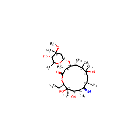 CC[C@H]1OC(=O)[C@H](C)[C@@H](O[C@H]2C[C@@](C)(OC)[C@@H](O)[C@H](C)O2)[C@H](C)[C@@H](C)[C@](C)(O)C[C@@H](C)C(=N)[C@H](C)[C@H](O)[C@]1(C)O